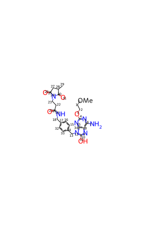 COCCOc1nc(N)c2nc(O)n(Cc3ccc(CNC(=O)CCN4C(=O)CC(C)C4=O)cc3)c2n1